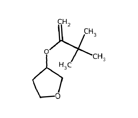 C=C(OC1CCOC1)C(C)(C)C